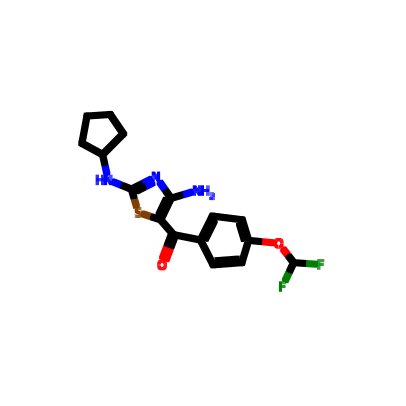 Nc1nc(NC2CCCC2)sc1C(=O)c1ccc(OC(F)F)cc1